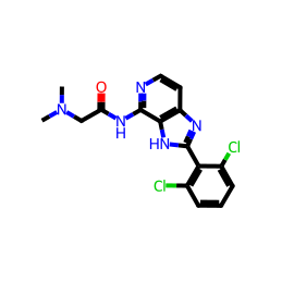 CN(C)CC(=O)Nc1nccc2nc(-c3c(Cl)cccc3Cl)[nH]c12